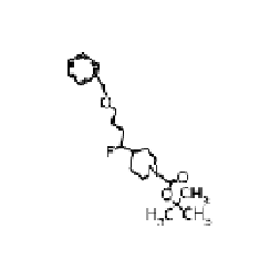 CC(C)(C)OC(=O)N1CCC(C(F)CCCOCc2ccccc2)CC1